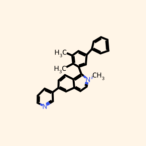 Cc1cc(-c2ccccc2)cc(-c2c3ccc(-c4cccnc4)cc3cc[n+]2C)c1C